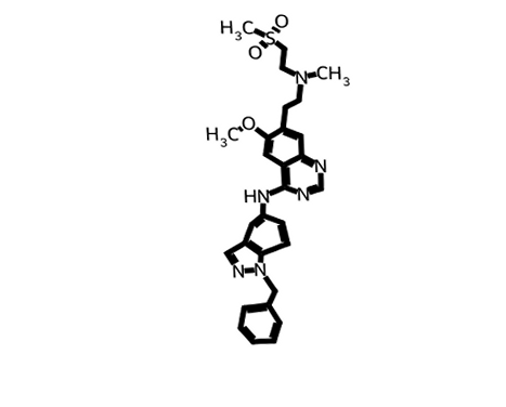 COc1cc2c(Nc3ccc4c(cnn4Cc4ccccc4)c3)ncnc2cc1CCN(C)CCS(C)(=O)=O